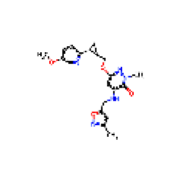 COc1ccc([C@@H]2CC2COc2cc(NCc3cc(C)no3)c(=O)n(C)n2)nc1